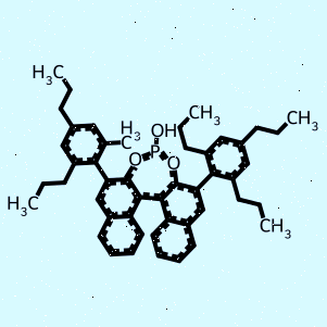 CCCc1cc(C)c(-c2cc3ccccc3c3c2op(O)oc2c(-c4c(CCC)cc(CCC)cc4CCC)cc4ccccc4c23)c(CCC)c1